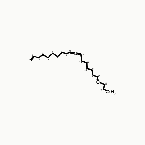 C=CCCCCCCCC=C=CCCCCCCOCCN